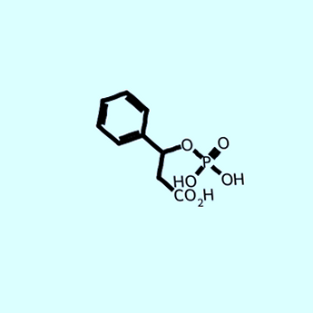 O=C(O)CC(OP(=O)(O)O)c1ccccc1